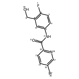 O=C(Nc1ccc(F)c(CO)c1)c1ccc(Br)cn1